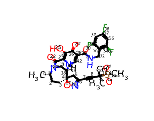 C[C@H]1CC[C@@]2(CC(C#CC(C)(C)S(C)(=O)=O)=NO2)[C@H]2CN1C(=O)c1c(O)c(=O)c(C(=O)NCc3c(F)cc(F)cc3F)cn12